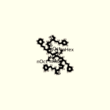 CCCCCCCCC(CCCCCC)CN1C(=O)C2=C(c3cc(CCCc4ccccc4)c(-c4ccc(-c5sccc5CCCc5ccccc5)s4)s3)N(CC(CCCCCC)CCCCCCCC)C(=O)C2=C1c1cc(CCCc2ccccc2)c(-c2ccc(-c3sccc3CCCc3ccccc3)s2)s1